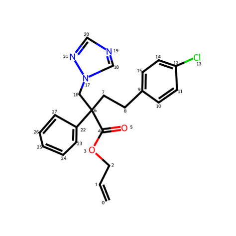 C=CCOC(=O)C(CCc1ccc(Cl)cc1)(Cn1cncn1)c1ccccc1